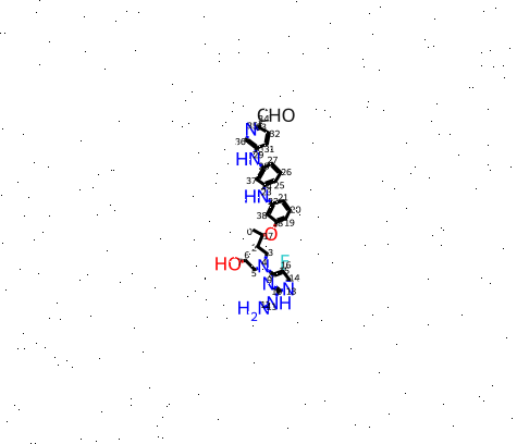 CC(CCN(CCO)c1nc(NN)ncc1F)Oc1cccc(Nc2cccc(Nc3ccc(C=O)nc3)c2)c1